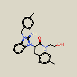 Cc1ccc(CC(C(=O)NCCO)n2c(=N)n(Cc3ccc(C)cc3)c3ccccc32)cc1